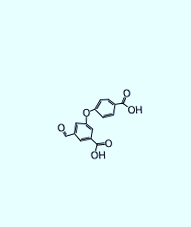 O=Cc1cc(Oc2ccc(C(=O)O)cc2)cc(C(=O)O)c1